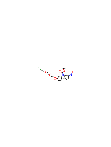 CN(C=O)c1ccc2c3ccc(OCCOCCOCC[18F])cc3n(C(=O)OC(C)(C)C)c2c1